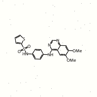 COc1cc2ncnc(Nc3ccc(NS(=O)(=O)c4cccs4)cc3)c2cc1OC